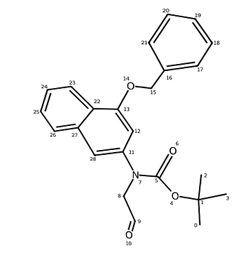 CC(C)(C)OC(=O)N(CC=O)c1cc(OCc2ccccc2)c2ccccc2c1